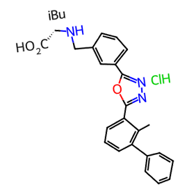 CC[C@H](C)[C@H](NCc1cccc(-c2nnc(-c3cccc(-c4ccccc4)c3C)o2)c1)C(=O)O.Cl